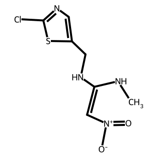 CNC(=C[N+](=O)[O-])NCc1cnc(Cl)s1